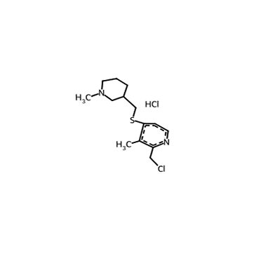 Cc1c(SCC2CCCN(C)C2)ccnc1CCl.Cl